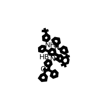 CC(C)(C)c1ccc(Nc2ccccc2-c2cc(N(c3ccccc3)c3ccccc3)c3c4cc5c(cc4n4c3c2Bc2cc3oc(-c6ccccc6)c(-c6ccccc6)c3cc2-4)C(C)(C)CCC5(C)C)cc1